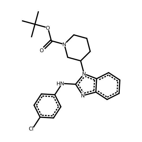 CC(C)(C)OC(=O)N1CCCC(n2c(Nc3ccc(Cl)cc3)nc3ccccc32)C1